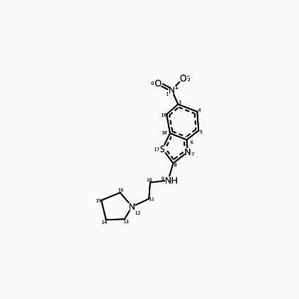 O=[N+]([O-])c1ccc2nc(NCCN3CCCC3)sc2c1